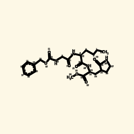 CCCC[C@H](NC(=O)CNC(=O)OCc1ccccc1)C(=O)N[C@@H](CC1CCNC1=O)C(=O)OC